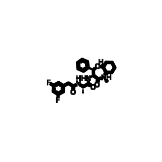 C[C@H](NC(=O)Cc1cc(F)cc(F)c1)C(=O)N[C@@H]1C(=O)N(C)[C@@H]2CCCC[C@H]2O[C@@H]1c1ccccc1